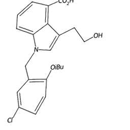 CC(C)COc1ccc(Cl)cc1Cn1cc(CCO)c2c(C(=O)O)cccc21